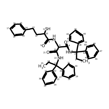 CCC(NC(=O)C(NC(=O)C(S)CCc1ccccc1)C(=O)NC(CC)(c1ccccc1)c1ccccc1)(c1ccccc1)c1ccccc1